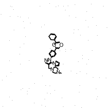 CN1CCN(Cc2cnn(-c3ccc(C4=COC=C(C5=CC=CCC5)O4)cc3)c2-n2cccc2)CC1